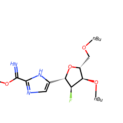 CCCCOC[C@H]1O[C@@H](c2cnc(C(=N)OCC)[nH]2)[C@H](F)[C@@H]1OCCCC